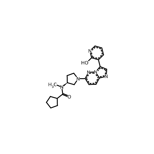 CN(C(=O)C1CCCC1)[C@H]1CCN(c2ccc3ncc(-c4cccnc4O)n3n2)C1